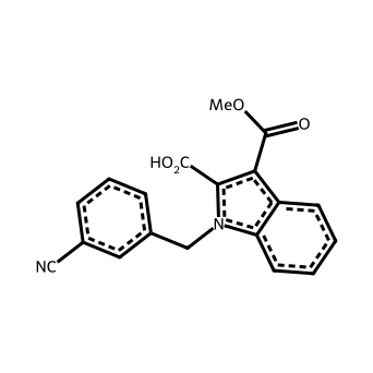 COC(=O)c1c(C(=O)O)n(Cc2cccc(C#N)c2)c2ccccc12